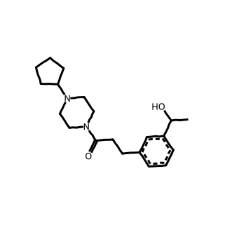 CC(O)c1cccc(CCC(=O)N2CCN(C3CCCC3)CC2)c1